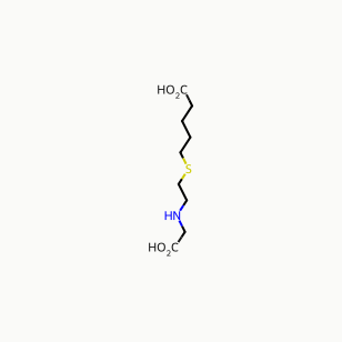 O=C(O)CCCCSCCNCC(=O)O